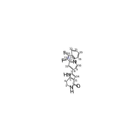 O=C1NCCc2[nH]c(-c3ccnc(/C(F)=C(/F)c4ccccc4)c3)cc21